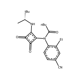 CCCCC(=O)N(c1ccc(C#N)cc1CC)c1c(N[C@H](C)C(C)(C)C)c(=O)c1=O